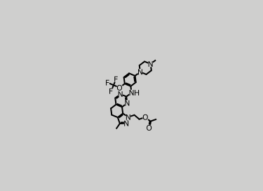 CC(=O)OCCn1nc(C)c2c1-c1nc(Nc3cc(N4CCN(C)CC4)ccc3OC(F)(F)F)ncc1CC2